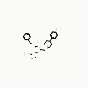 O=C(N[C@@H](CCP(=O)(O)O)C(=O)N1CCC(c2ccc(C(F)(F)F)cc2)CC1)OCc1ccccc1